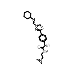 CN(C)CCNC(=O)Nc1ccc(C2=NN(C=NC3CCCCC3)CS2)cc1